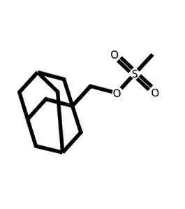 CS(=O)(=O)OCC12CC3CC(CC(C3)C1)C2